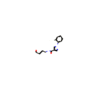 COC(=O)/C=C/CNC(=O)c1cnn(-c2ccccc2OC)c1